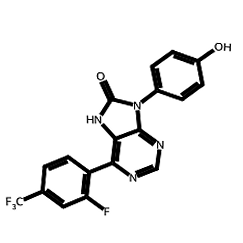 O=c1[nH]c2c(-c3ccc(C(F)(F)F)cc3F)ncnc2n1-c1ccc(O)cc1